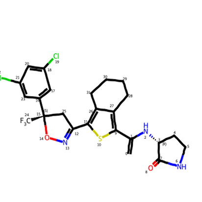 C=C(N[C@@H]1CCNC1=O)c1sc(C2=NO[C@@](c3cc(Cl)cc(Cl)c3)(C(F)(F)F)C2)c2c1CCCC2